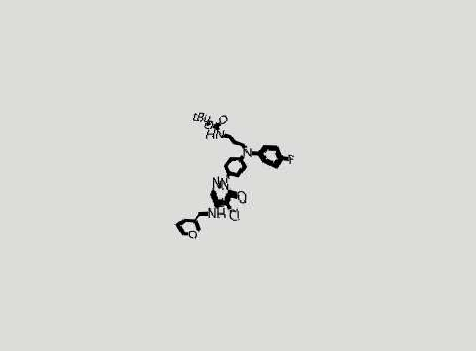 CC(C)(C)OC(=O)NCCCN(c1ccc(F)cc1)C1CCC(n2ncc(NC[C@@H]3CCCOC3)c(Cl)c2=O)CC1